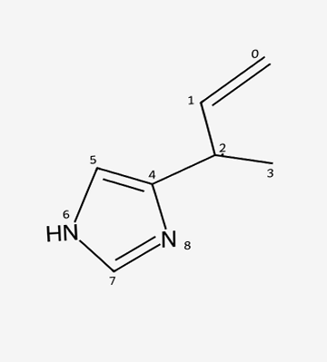 C=C[C](C)c1c[nH]cn1